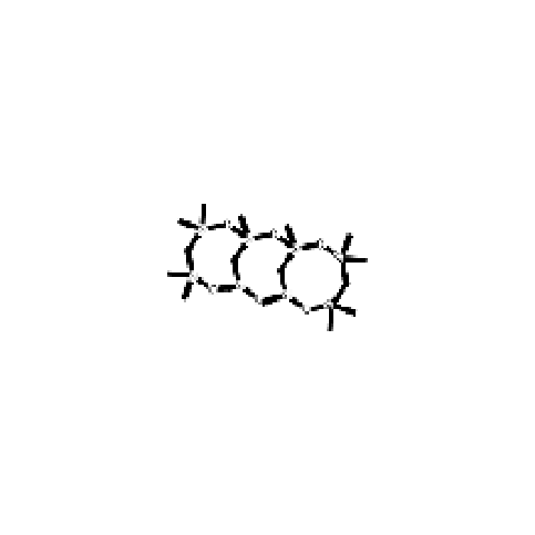 C[Si]1(C)C[Si](C)(C)O[Si]2(C)C[Si](C)(O1)O[Si]1(C)C[Si](C)(O[Si](C)(C)C[Si](C)(C)O1)O2